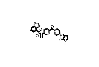 O=C1NCCC1CC1(O)CCN(C(=O)c2ccc(NS(=O)(=O)c3cccc4scnc34)cc2)CC1